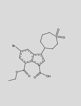 CCOC(=O)c1cc(Br)cc2c(C3CCCS(=O)(=O)CC3)cn(C(=O)O)c12